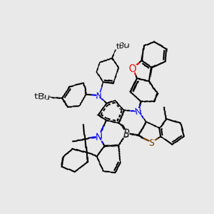 CC1CC=CC2=C1C1C(S2)B2c3c(cc(N(C4=CCC(C(C)(C)C)CC4)C4CC=C(C(C)(C)C)CC4)cc3N3C4C2C=CCC4C2(CCCCC2)C3(C)C)N1C1C=C2OC3=C(C=CCC3)C2CC1